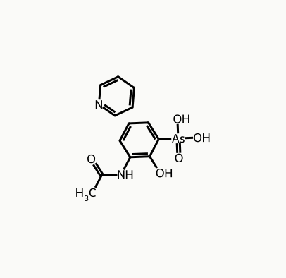 CC(=O)Nc1cccc([As](=O)(O)O)c1O.c1ccncc1